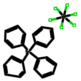 [Cl][W]([Cl])([Cl])([Cl])([Cl])[Cl].c1cc[c]([Sn]([c]2ccccc2)([c]2ccccc2)[c]2ccccc2)cc1